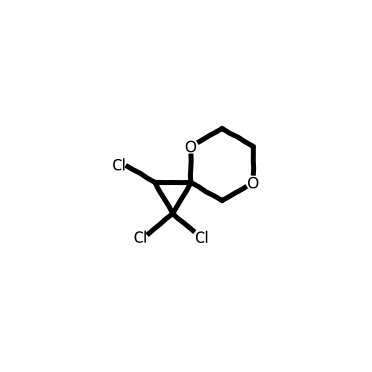 ClC1C(Cl)(Cl)C12COCCO2